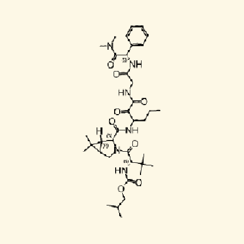 CCCC(NC(=O)[C@@H]1[C@@H]2C(CN1C(=O)[C@@H](NC(=O)OCC(C)C)C(C)(C)C)C2(C)C)C(=O)C(=O)NCC(=O)N[C@H](C(=O)N(C)C)c1ccccc1